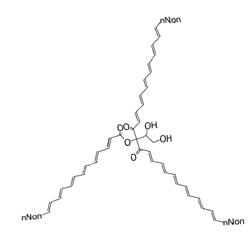 CCCCCCCCCC=CC=CC=CC=CC=CC=CC(=O)OC(C(=O)C=CC=CC=CC=CC=CC=CCCCCCCCCC)(C(=O)C=CC=CC=CC=CC=CC=CCCCCCCCCC)C(O)CO